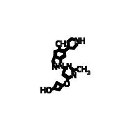 Cc1nc(OC2CC(O)C2)cc(-n2ncc3cc(C)c(C4CCNCC4)cc32)n1